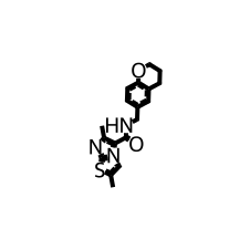 Cc1cn2c(C(=O)NCc3ccc4c(c3)CCCO4)c(C)nc2s1